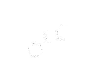 C=C(NC=O)S/C(=C\C)C1CCCCC1